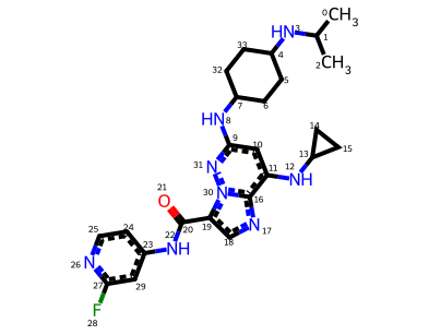 CC(C)NC1CCC(Nc2cc(NC3CC3)c3ncc(C(=O)Nc4ccnc(F)c4)n3n2)CC1